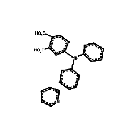 O=C(O)c1ccc([SiH](c2ccccc2)c2ccccc2)cc1C(=O)O.c1ccncc1